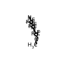 CCCCOCc1cc(F)c(C#Cc2cc(F)c(-c3cc(F)c(C#N)c(F)c3)c(F)c2)c(F)c1